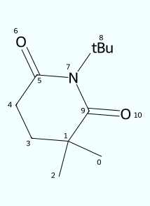 CC1(C)CCC(=O)N(C(C)(C)C)C1=O